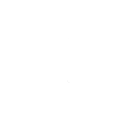 Bc1cc(C#N)ccc1C